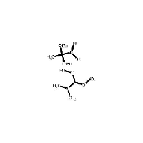 CCC(C)OC(OC(C)CC)N(C)C.CCN(CC)C(C)(OCC(C)C)OCC(C)C